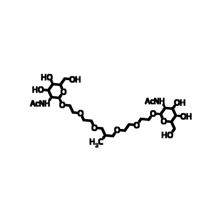 CC(=O)N[C@H]1C(O)[C@@H](O)C(CO)O[C@H]1OCCOCCOCC(C)COCCOCCO[C@@H]1OC(CO)[C@H](O)C(O)[C@@H]1NC(C)=O